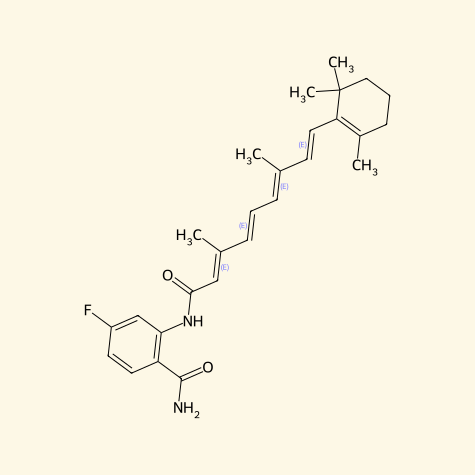 CC1=C(/C=C/C(C)=C/C=C/C(C)=C/C(=O)Nc2cc(F)ccc2C(N)=O)C(C)(C)CCC1